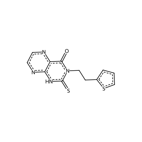 O=c1c2nccnc2[nH]c(=S)n1CCc1cccs1